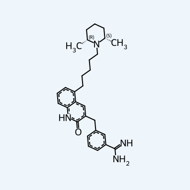 C[C@@H]1CCC[C@H](C)N1CCCCCc1cccc2[nH]c(=O)c(Cc3cccc(C(=N)N)c3)cc12